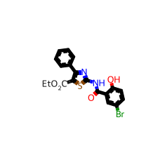 CCOC(=O)c1sc(NC(=O)c2cc(Br)ccc2O)nc1-c1ccccc1